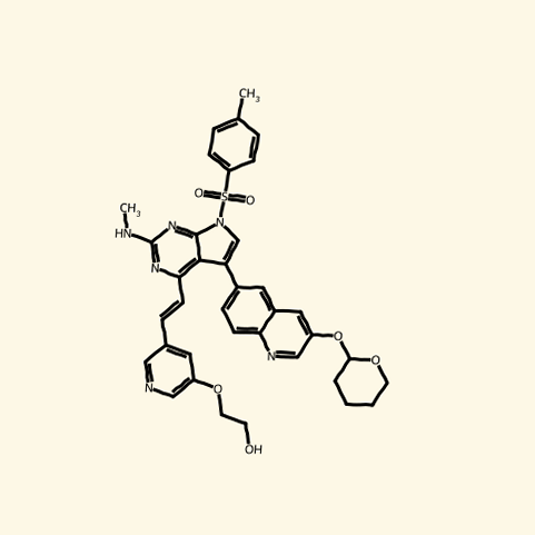 CNc1nc(C=Cc2cncc(OCCO)c2)c2c(-c3ccc4ncc(OC5CCCCO5)cc4c3)cn(S(=O)(=O)c3ccc(C)cc3)c2n1